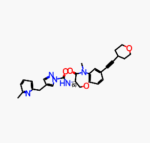 Cc1cccc(Cc2cnn(C(=O)N[C@H]3COc4ccc(C#CC5CCOCC5)cc4N(C)C3=O)c2)n1